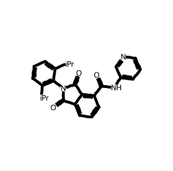 CC(C)c1cccc(C(C)C)c1N1C(=O)c2cccc(C(=O)Nc3cccnc3)c2C1=O